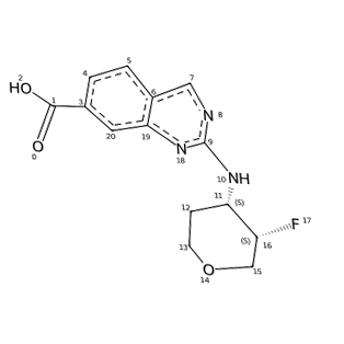 O=C(O)c1ccc2cnc(N[C@H]3CCOC[C@H]3F)nc2c1